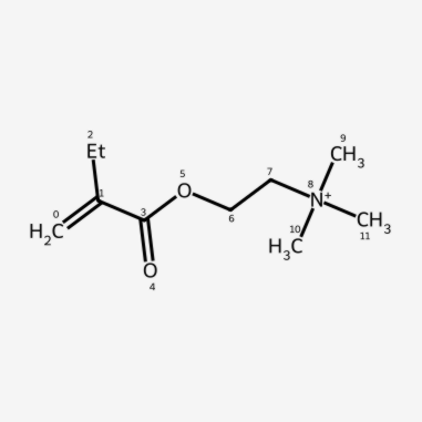 C=C(CC)C(=O)OCC[N+](C)(C)C